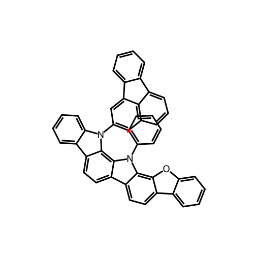 c1ccc(-n2c3c(ccc4c5ccccc5oc43)c3ccc4c5ccccc5n(-c5cc6c7c(cccc7c5)-c5ccccc5-6)c4c32)cc1